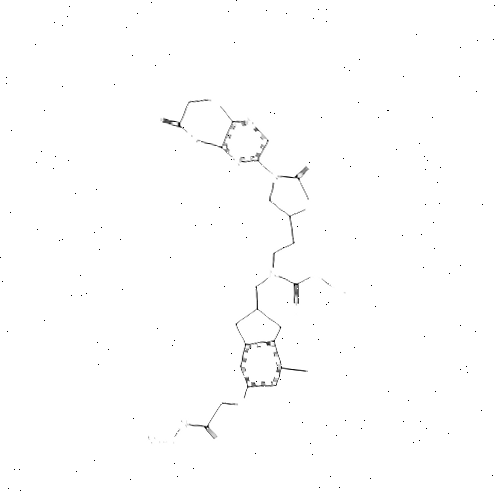 CONC(=O)COc1cc(F)c2c(c1)CC(CN(CCC1CN(c3cnc4c(n3)NC(=O)CO4)C(=O)O1)C(=O)OC(C)(C)C)C2